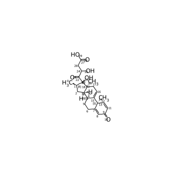 C[C@@H]1C[C@H]2[C@@H]3CCC4=CC(=O)C=C[C@]4(C)C3=CC[C@]2(C)[C@@]1(O)C(=O)C(O)CC(=O)O